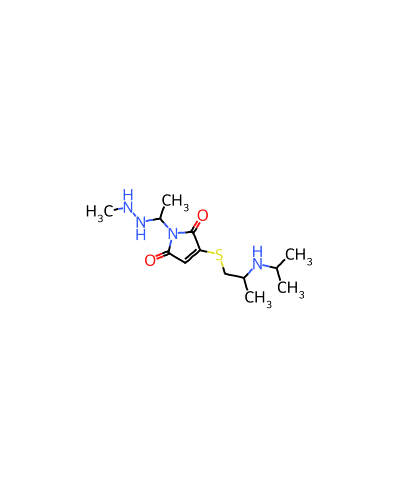 CNNC(C)N1C(=O)C=C(SCC(C)NC(C)C)C1=O